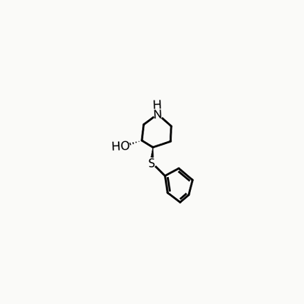 O[C@@H]1CNCC[C@H]1Sc1ccccc1